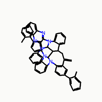 C=C1CC2c3ccccc3N3c4nc5ccccc5nc4N(c4ccccc4)C3C2C2N(c3ccc(-c4ccccc4C)cc3)c3ccccc3N2c2ccc(-c3ccccc3C)cc21